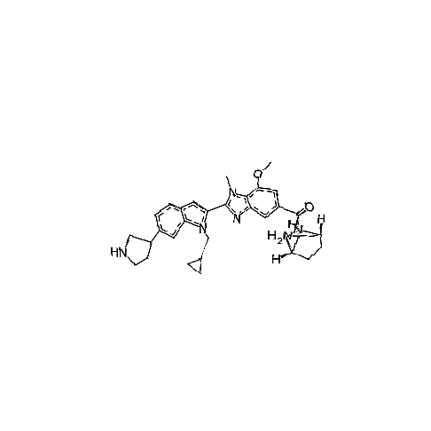 COc1cc(C(=O)N2C[C@H]3CC[C@@H]2[C@@H]3N)cc2nc(-c3cc4ccc(C5CCNC5)cc4n3CC3CC3)n(C)c12